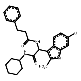 O=C(CCc1ccccc1)NC(C(=O)NC1CCCCC1)c1c(C(=O)O)[nH]c2cc(Cl)ccc12